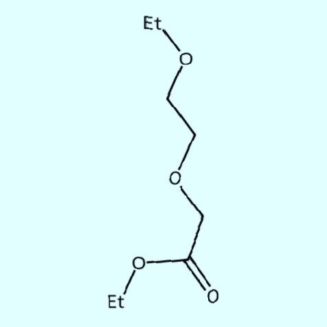 CCOCCOCC(=O)OCC